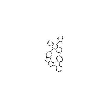 c1ccc(-c2c3ccccc3c(-c3ccc4sc5ccc6c7ccccc7c7ccccc7c6c5c4c3)c3ccccc23)cc1